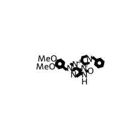 COc1ccc(Cn2cnc3c2ncc2[nH]c(=O)n([C@H]4CN(Cc5ccccc5)CC[C@H]4C)c23)cc1OC